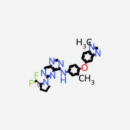 Cc1cc(Nc2ncnc3cnc(N4CCC[C@H]4C(F)F)nc23)ccc1Oc1ccc2c(c1)ncn2C